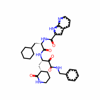 O=C(NCc1ccccc1)C(=O)[C@H](C[C@@H]1CCCNC1=O)NC(=O)[C@H](CC1CCCCC1)NC(=O)c1cc2cccnc2[nH]1